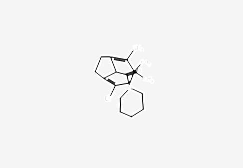 CCC1=C2CCC(=C(C)C(C)(C)C1)C2C(=O)N1CCCCC1